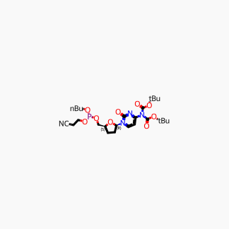 CCCCOP(OCCC#N)OC[C@@H]1CC[C@H](n2ccc(N(C(=O)OC(C)(C)C)C(=O)OC(C)(C)C)nc2=O)O1